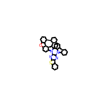 c1cc2c3c(c1)ccc1c3c3c4c(ccc3n1-c1nc3sc5ccccc5c3nc1-n1c3ccccc3c3ccccc31)oc1cccc-2c14